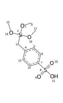 CO[Si](Cc1ccc(S(=O)(=O)O)cc1)(OC)OC